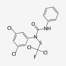 O=C(Nc1ccccc1)N(SC(F)(Cl)Cl)c1cc(Cl)cc(Cl)c1